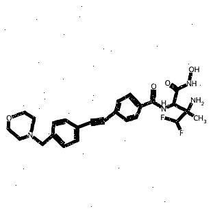 CC(N)(C(F)F)C(NC(=O)c1ccc(C#Cc2ccc(CN3CCOCC3)cc2)cc1)C(=O)NO